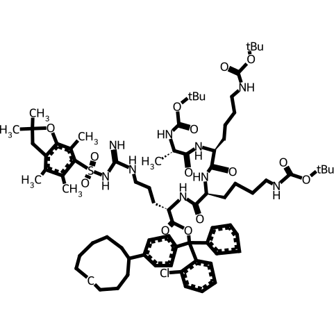 Cc1c(C)c(S(=O)(=O)NC(=N)NCCC[C@H](NC(=O)[C@H](CCCCNC(=O)OC(C)(C)C)NC(=O)[C@H](CCCCNC(=O)OC(C)(C)C)NC(=O)[C@H](C)NC(=O)OC(C)(C)C)C(=O)OC(c2ccccc2)(c2ccc(C3CCCCCCCCC3)cc2)c2ccccc2Cl)c(C)c2c1CC(C)(C)O2